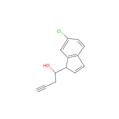 C#CCC(O)C1C=Cc2ccc(Cl)cc21